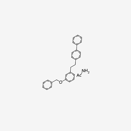 CC(N)=O.c1ccc(COc2cccc(CCc3ccc(-c4ccccc4)cc3)c2)cc1